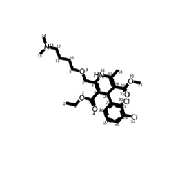 CCOC(=O)C1=C(COCCCCN(C)C)NC(C)=C(C(=O)OC)C1c1cccc(Cl)c1Cl